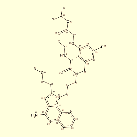 CCNCC(=O)N(CCCn1c(CCOC)nc2c(N)nc3ccccc3c21)Cc1cc(F)cc(OCC(=O)OC(C)C)c1